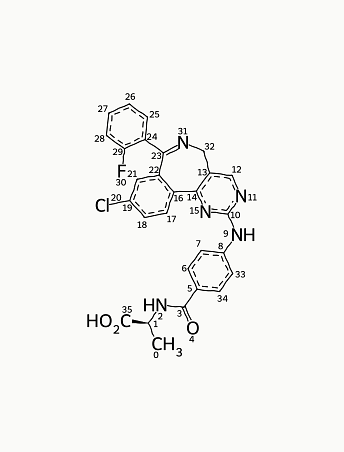 C[C@H](NC(=O)c1ccc(Nc2ncc3c(n2)-c2ccc(Cl)cc2C(c2ccccc2F)=NC3)cc1)C(=O)O